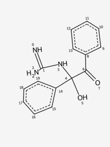 N=C(N)NC(O)(C(=O)c1ccccc1)c1ccccc1